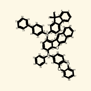 CC1(C)c2ccccc2-c2ccc(N(c3ccc(-c4ccccc4)cc3)c3ccc(N(c4ccccc4)c4ccc5c(c4)Oc4ccccc4O5)c4oc5cc6ccccc6cc5c34)cc21